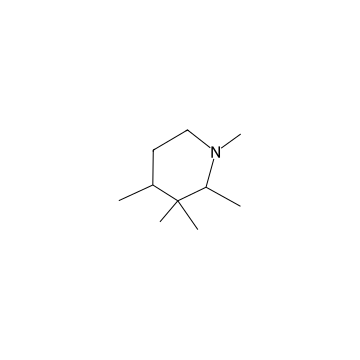 CC1CCN(C)C(C)C1(C)C